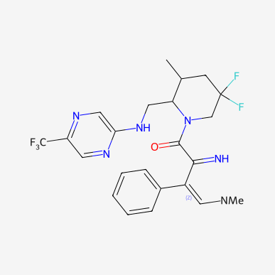 CN/C=C(\C(=N)C(=O)N1CC(F)(F)CC(C)C1CNc1cnc(C(F)(F)F)cn1)c1ccccc1